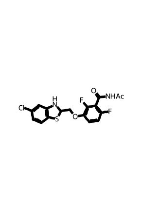 CC(=O)NC(=O)c1c(F)ccc(OCC2Nc3cc(Cl)ccc3S2)c1F